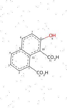 O=C(O)c1cccc2ccc(O)c(C(=O)O)c12